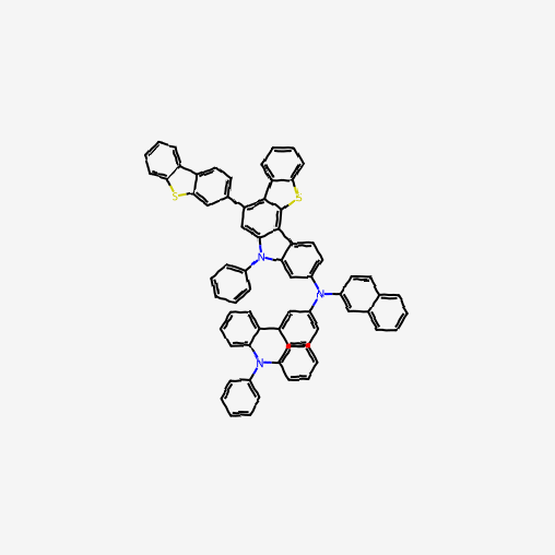 c1ccc(N(c2ccccc2)c2ccccc2-c2cccc(N(c3ccc4ccccc4c3)c3ccc4c5c6sc7ccccc7c6c(-c6ccc7c(c6)sc6ccccc67)cc5n(-c5ccccc5)c4c3)c2)cc1